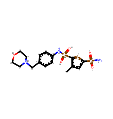 Cc1cc(S(N)(=O)=O)sc1S(=O)(=O)Nc1ccc(CN2CCOCC2)cc1